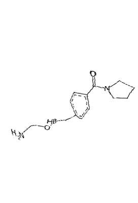 NCOBCc1ccc(C(=O)N2CCCC2)cc1